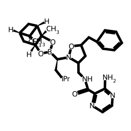 CC(C)C[C@@H](B1O[C@@H]2C[C@@H]3C[C@@H](C3(C)C)[C@]2(C)O1)N1OC(Cc2ccccc2)CC1CNC(=O)c1nccnc1N